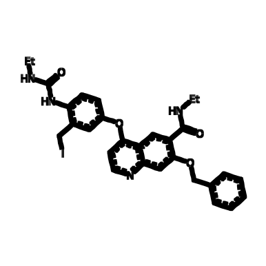 CCNC(=O)Nc1ccc(Oc2ccnc3cc(OCc4ccccc4)c(C(=O)NCC)cc23)cc1CI